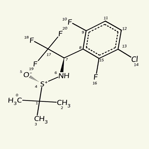 CC(C)(C)[S@+]([O-])N[C@H](c1c(F)ccc(Cl)c1F)C(F)(F)F